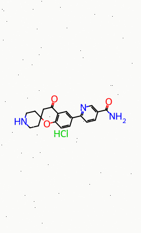 Cl.NC(=O)c1ccc(-c2ccc3c(c2)C(=O)CC2(CCNCC2)O3)nc1